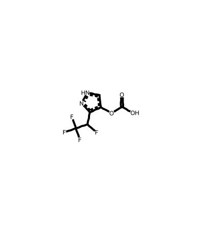 O=C(O)Oc1c[nH]nc1C(F)C(F)(F)F